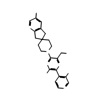 Cc1cnc2c(c1)CC1(CCN(c3nc(C)c(-c4ccncc4Cl)nc3CO)CC1)C2